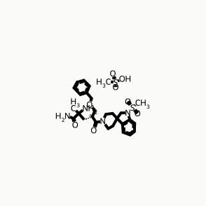 CC(N)(C[C@H](COCc1ccccc1)C(=O)N1CCC2(CC1)CN(S(C)(=O)=O)c1ccccc12)C(N)=O.CS(=O)(=O)O